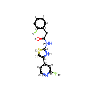 O=C(Cc1ccccc1F)Nc1nc(-c2ccnc(F)c2)cs1